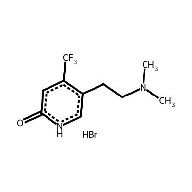 Br.CN(C)CCc1c[nH]c(=O)cc1C(F)(F)F